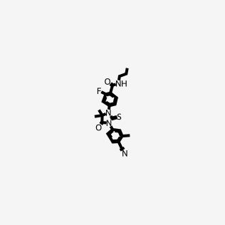 CCCNC(=O)c1ccc(N2C(=S)N(c3ccc(C#N)c(C)c3)C(=O)C2(C)C)cc1F